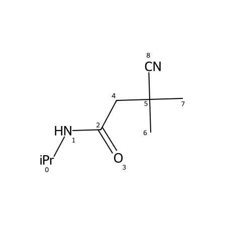 CC(C)NC(=O)CC(C)(C)C#N